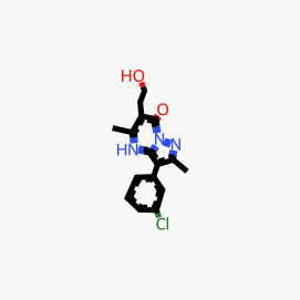 Cc1nn2c(=O)c(CCO)c(C)[nH]c2c1-c1cccc(Cl)c1